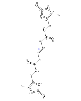 Cc1oc(=O)oc1COC(=O)C/C=C/CC(=O)OCc1oc(=O)oc1C